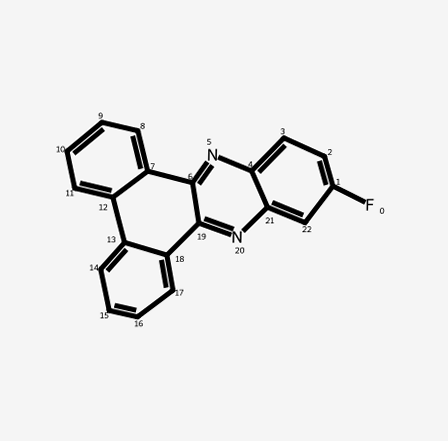 Fc1ccc2nc3c4ccccc4c4ccccc4c3nc2c1